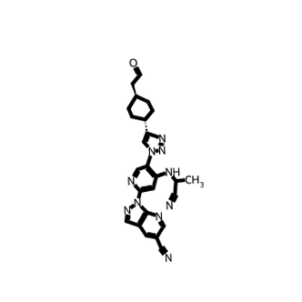 CC(C#N)Nc1cc(-n2ncc3cc(C#N)cnc32)ncc1-n1cc([C@H]2CC[C@H](CC=O)CC2)nn1